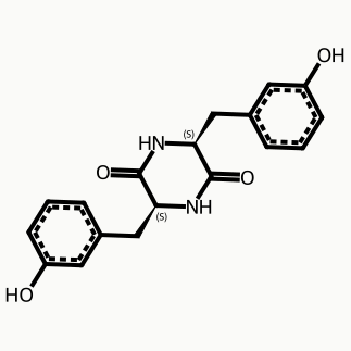 O=C1N[C@@H](Cc2cccc(O)c2)C(=O)N[C@H]1Cc1cccc(O)c1